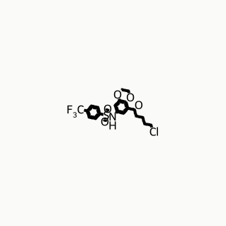 O=C(CCCCCl)c1cc(NS(=O)(=O)c2ccc(C(F)(F)F)cc2)cc2c1OCCO2